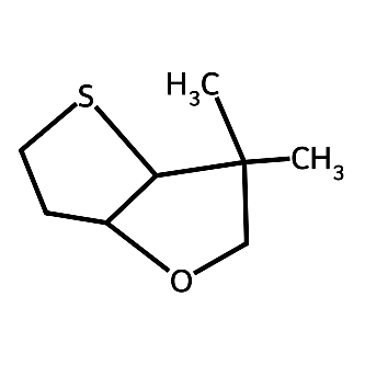 CC1(C)COC2CCSC21